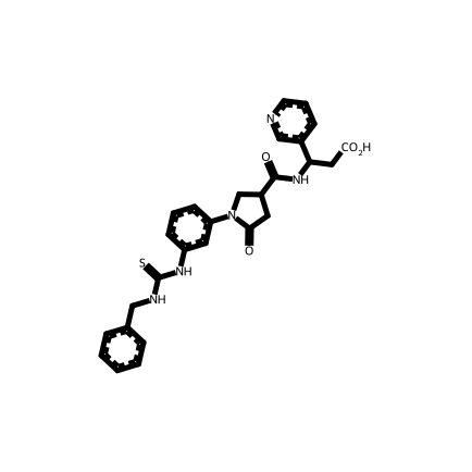 O=C(O)CC(NC(=O)C1CC(=O)N(c2cccc(NC(=S)NCc3ccccc3)c2)C1)c1cccnc1